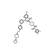 Cc1cc(C(=O)NC2CCC(NC(=O)c3cc(F)cnc3Oc3cccc(-c4ccc(CCN5CCC(N6CCCC6)CC5)cc4)c3)CC2)nn1C